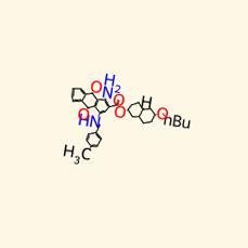 CCCCOC1CCC2C[C@H](OC(=O)c3cc(NCc4ccc(C)cc4)c4c(c3N)C(=O)c3ccccc3C4=O)CC[C@@H]2C1